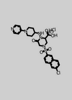 Cl.Cl.O=C(O)C1CN(S(=O)(=O)c2ccc3cc(Cl)ccc3c2)CC(=O)N1NC1CCN(c2ccncc2)CC1